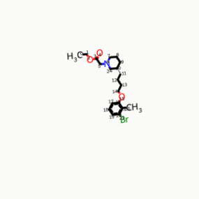 CCOC(=O)CN1CCC[C@H](CCCCOc2cccc(Br)c2C)C1